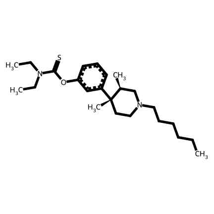 CCCCCCN1CC[C@](C)(c2cccc(OC(=S)N(CC)CC)c2)[C@@H](C)C1